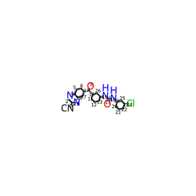 N#Cc1cnc2ccc(C(=O)c3cccc(NC(=O)Nc4cccc(Cl)c4)c3)cc2n1